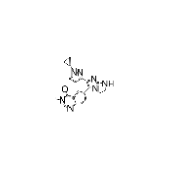 Cn1cnc2ccc(-c3c(-c4ccn(C5CC5)n4)nc4n3CCN4)cc2c1=O